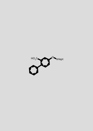 CCCCCCCOc1ccc(-c2ccccc2)c(C(=O)O)c1